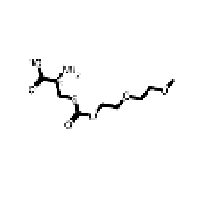 COCCOCCOC(=O)SC[C@H](N)C(=O)O